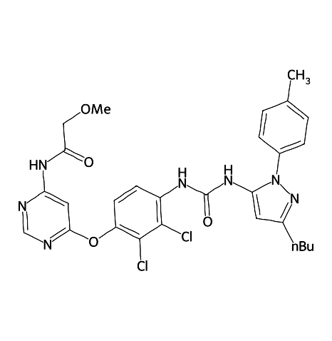 CCCCc1cc(NC(=O)Nc2ccc(Oc3cc(NC(=O)COC)ncn3)c(Cl)c2Cl)n(-c2ccc(C)cc2)n1